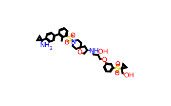 Cc1c(-c2ccc(C3(N)CC3)cc2)cccc1S(=O)(=O)N1CCC2(CC1)C[C@@H](NC[C@H](O)COc1cccc(S(=O)(=O)C3(CO)CC3)c1)CO2